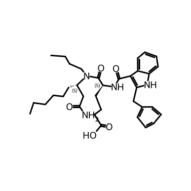 CCCCCC[C@@H](CC(N)=O)N(CCCC)C(=O)[C@H](CCCC(=O)O)NC(=O)c1c(Cc2ccccc2)[nH]c2ccccc12